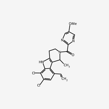 C=Cc1cc(Cl)c(Cl)c2[nH]c3c(c12)C(C)N(C(=O)c1ncc(OC)cn1)CC3